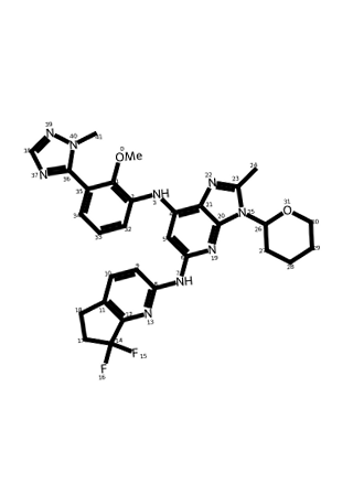 COc1c(Nc2cc(Nc3ccc4c(n3)C(F)(F)CC4)nc3c2nc(C)n3C2CCCCO2)cccc1-c1ncnn1C